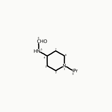 CC(C)N1CCC(NC=O)CC1